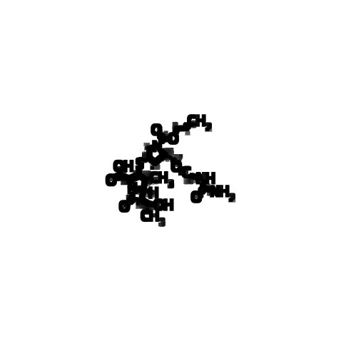 C=CCOC(=O)N1C[C@@H](SC2=C(C(=O)O)N3C(=O)[C@H]([C@@H](C)O)[C@H]3[C@H]2C)C[C@H]1COCCNC(N)=O